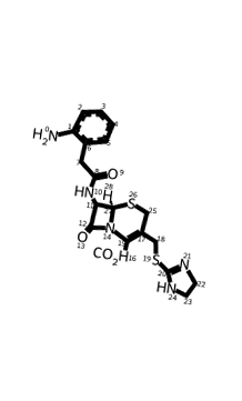 Nc1ccccc1CC(=O)NC1C(=O)N2C(C(=O)O)=C(CSC3=NCCN3)CS[C@H]12